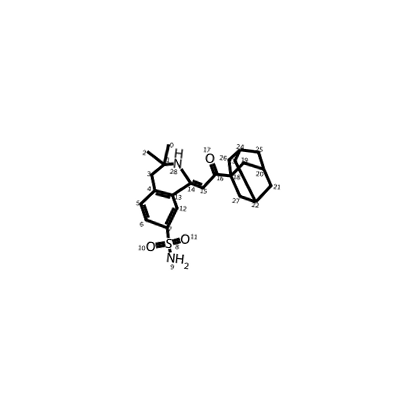 CC1(C)Cc2ccc(S(N)(=O)=O)cc2/C(=C/C(=O)C23CC4CC(CC(C4)C2)C3)N1